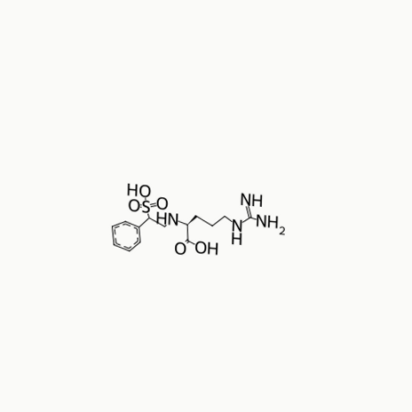 N=C(N)NCCC[C@H](NCC(c1ccccc1)S(=O)(=O)O)C(=O)O